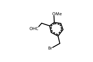 COc1ccc(CBr)cc1CC=O